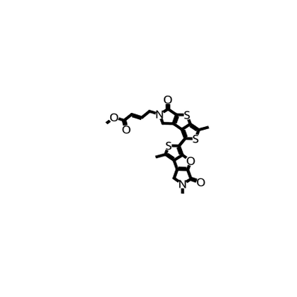 COC(=O)C=CCN1Cc2c(sc3c(C)sc(-c4sc(C)c5c6c(oc45)C(=O)N(C)C6)c23)C1=O